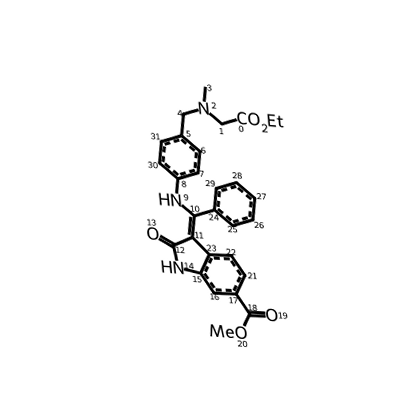 CCOC(=O)CN(C)Cc1ccc(N/C(=C2\C(=O)Nc3cc(C(=O)OC)ccc32)c2ccccc2)cc1